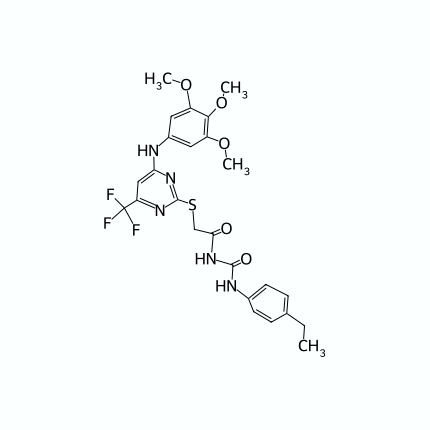 CCc1ccc(NC(=O)NC(=O)CSc2nc(Nc3cc(OC)c(OC)c(OC)c3)cc(C(F)(F)F)n2)cc1